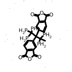 CC(P)(P)C(c1ccc2c(c1)C(=O)OC2=O)(c1ccc2c(c1)C(=O)OC2=O)C(P)(P)P